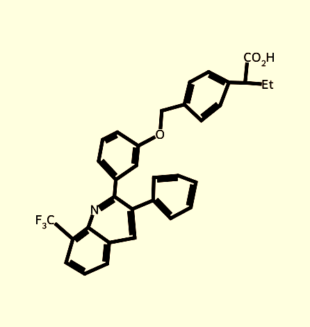 CCC(C(=O)O)c1ccc(COc2cccc(-c3nc4c(C(F)(F)F)cccc4cc3-c3ccccc3)c2)cc1